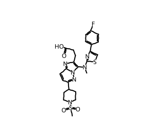 CN(c1nc(-c2ccc(F)cc2)cs1)c1c(CCC(=O)O)nc2ccc(C3CCN(S(C)(=O)=O)CC3)nn12